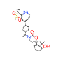 C[C@@H](c1ccc(-c2ccnc(C3(S(C)(=O)=O)CC3)c2)cc1)N1CC[C@](CC(C)(C)O)(c2ccccc2)OC1=O